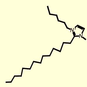 CCCCCCCCCCCCCCc1n(C)cc[n+]1CCCCCC